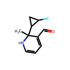 CC1(C2CC2F)NC=CC=C1C=O